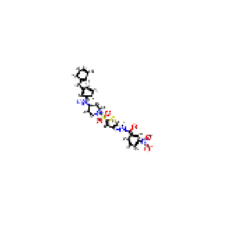 O=C(NCc1ccc(S(=O)(=O)N2CCC(Nc3cccc(Cc4ccccc4)c3)CC2)s1)c1cccc([N+](=O)[O-])c1